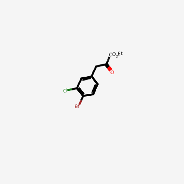 CCOC(=O)C(=O)Cc1ccc(Br)c(Cl)c1